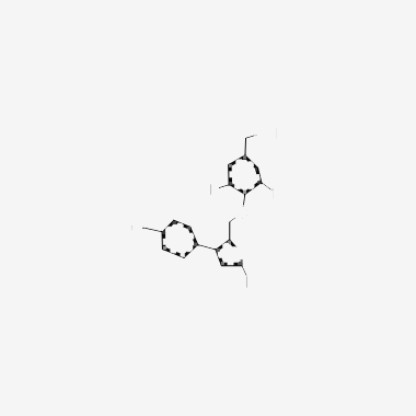 CCc1cc(F)c(OCc2sc(F)cc2-c2ccc(Cl)cc2)c(F)c1